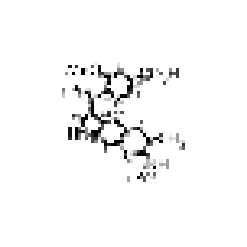 CCCNC(=O)[C@@H](C)Cc1ccc2[nH]cc(C(CCC)c3ccc(C(=O)O)cc3OC)c2c1